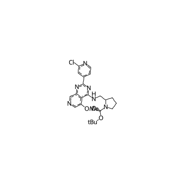 COc1cncc2nc(-c3ccnc(Cl)c3)nc(NCC3CCCN3C(=O)OC(C)(C)C)c12